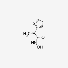 C=C(C(=O)NO)c1cccs1